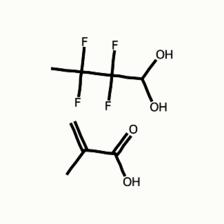 C=C(C)C(=O)O.CC(F)(F)C(F)(F)C(O)O